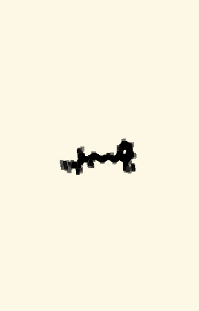 NNC(=S)NCCSCc1ncccc1O